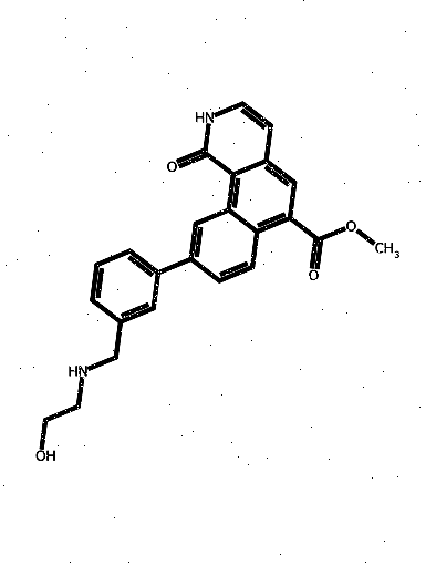 COC(=O)c1cc2cc[nH]c(=O)c2c2cc(-c3cccc(CNCCO)c3)ccc12